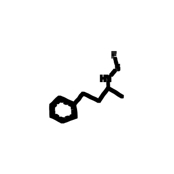 CC(CCc1ccccc1)NSF